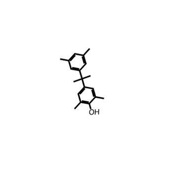 Cc1cc(C)cc(C(C)(C)c2cc(C)c(O)c(C)c2)c1